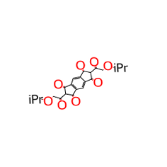 CC(C)OCC(=O)C1C(=O)c2cc3c(cc2C1=O)C(=O)C(C(=O)COC(C)C)C3=O